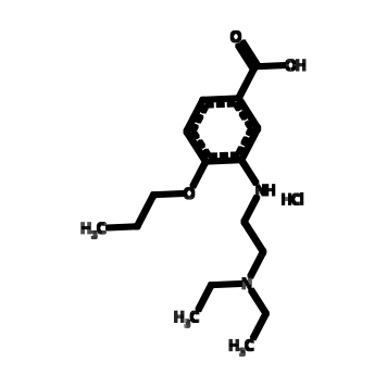 CCCOc1ccc(C(=O)O)cc1NCCN(CC)CC.Cl